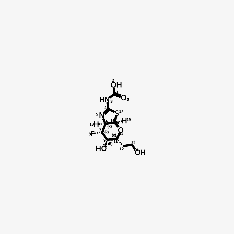 O=C(O)NC1=N[C@@H]2[C@@H](F)[C@H](O)[C@@H](CCO)O[C@@H]2S1